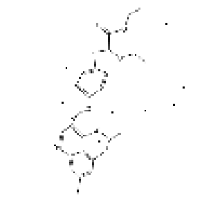 CCOC(=O)C(Cc1ccc(OCc2cnc3cc(C)cc(C)c3c2OC(C)C)cc1)OCC